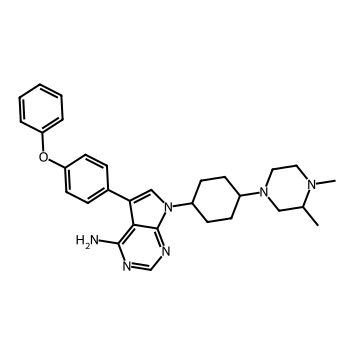 CC1CN(C2CCC(n3cc(-c4ccc(Oc5ccccc5)cc4)c4c(N)ncnc43)CC2)CCN1C